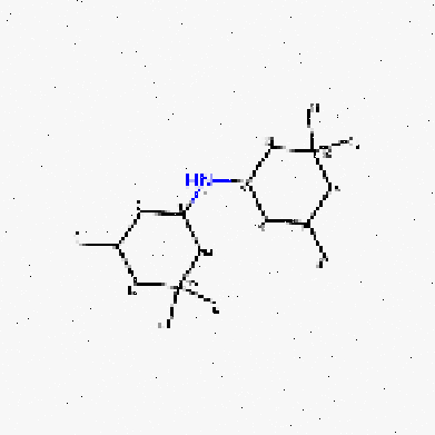 CC1CC(NC2CC(C)CC(C)(C)C2)CC(C)(C)C1